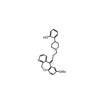 COc1ccc2c(c1)/C(=C/CCN1CCC(c3ccccc3O)CC1)c1cccnc1CO2